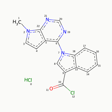 Cl.Cn1ccc2c(-n3cc(C(=O)Cl)c4ccccc43)ncnc21